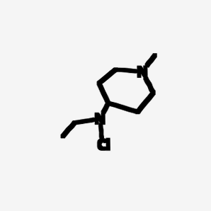 CCN(Cl)C1CCN(C)CC1